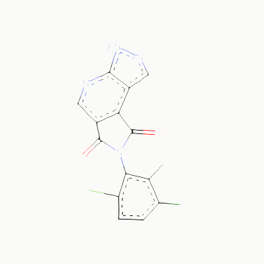 O=C1c2cnc3[nH]ncc3c2C(=O)N1c1c(F)ccc(Cl)c1Cl